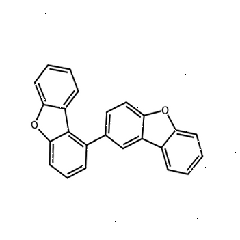 c1ccc2c(c1)oc1ccc(-c3cccc4oc5ccccc5c34)cc12